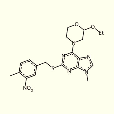 CCOC1CN(c2nc(SCc3ccc(C)c([N+](=O)[O-])c3)nc3c2ncn3C)CCO1